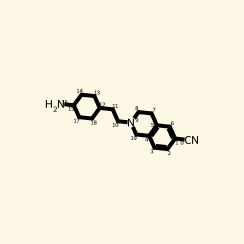 N#Cc1ccc2c(c1)CCN(CCC1CCC(N)CC1)C2